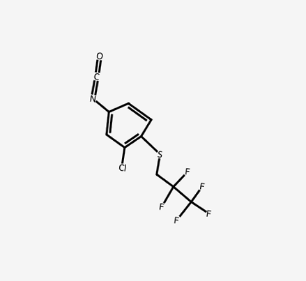 O=C=Nc1ccc(SCC(F)(F)C(F)(F)F)c(Cl)c1